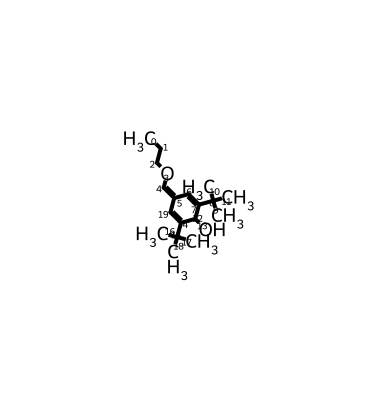 CCCOC=C1C=C(C(C)(C)C)C(O)C(C(C)(C)C)=C1